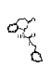 O=C1CCc2ccccc2N(NC(=O)OCc2ccccc2)C1